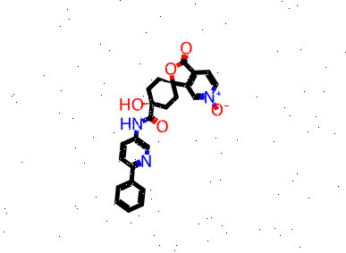 O=C1O[C@]2(CC[C@](O)(C(=O)Nc3ccc(-c4ccccc4)nc3)CC2)c2c[n+]([O-])ccc21